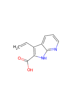 C=Cc1c(C(=O)O)[nH]c2ncccc12